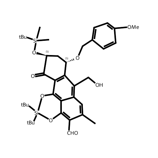 COc1ccc(CO[C@H]2C[C@H](O[Si](C)(C)C(C)(C)C)C(=O)c3c2c(CO)c2cc(C)c(C=O)c4c2c3O[Si](C(C)(C)C)(C(C)(C)C)O4)cc1